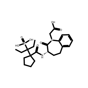 CCC(CC)(C1(C(=O)N[C@H]2CCc3ccccc3N(CC(=O)O)C2=O)CCCC1)P(=O)(O)O